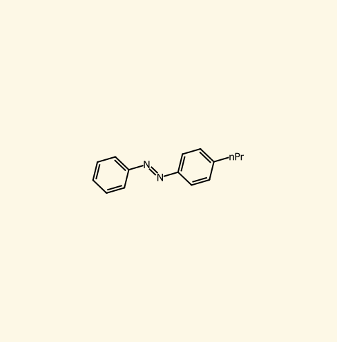 CCCc1ccc(N=Nc2ccccc2)cc1